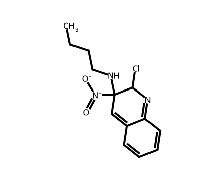 CCCCNC1([N+](=O)[O-])C=c2ccccc2=NC1Cl